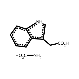 NC(=O)O.O=C(O)Cc1c[nH]c2ccccc12